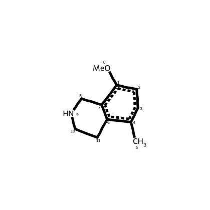 COc1ccc(C)c2c1CNCC2